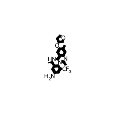 Cc1nc(N[C@H](C)c2cc(N)cc(C(F)(F)F)c2)c2cc(O[C@H]3CCOC3)c(C)cc2n1